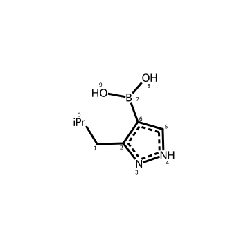 CC(C)Cc1n[nH]cc1B(O)O